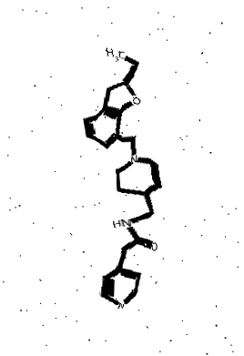 C/C=C1\Cc2cccc(CN3CCC(CNC(=O)Cc4ccncc4)CC3)c2O1